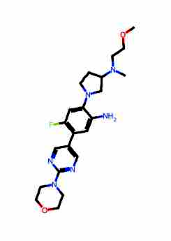 COCCN(C)C1CCN(c2cc(F)c(-c3cnc(N4CCOCC4)nc3)cc2N)C1